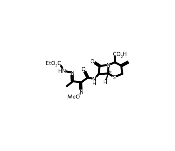 C=C1CS[C@@H]2C(NC(=O)C(=NOC)C(C)=NNC(=O)OCC)C(=O)N2C1C(=O)O